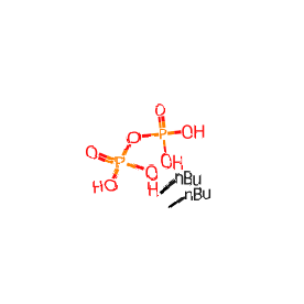 CCCCC.CCCCC.O=P(O)(O)OP(=O)(O)O